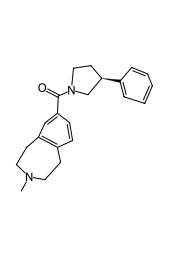 CN1CCc2ccc(C(=O)N3CC[C@@H](c4ccccc4)C3)cc2CC1